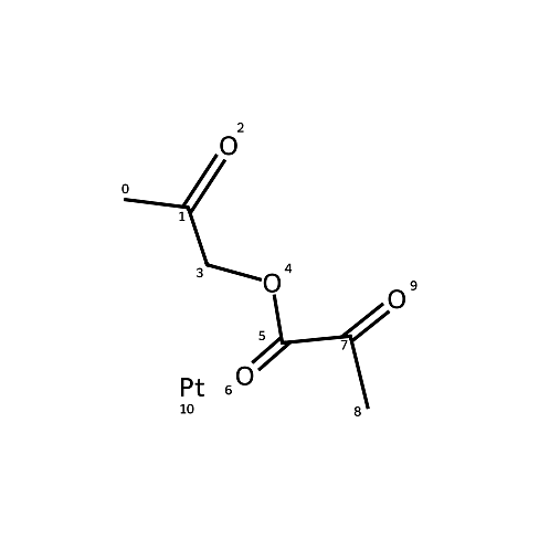 CC(=O)COC(=O)C(C)=O.[Pt]